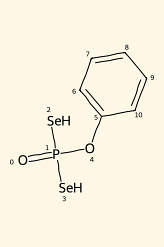 O=P([SeH])([SeH])Oc1ccccc1